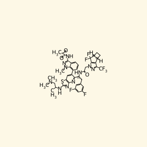 CC(CN(C)C)Nc1nc2nc([C@H](Cc3cc(F)cc(F)c3)NC(=O)Cn3nc(C(F)(F)F)c4c3C(F)(F)[C@@H]3CC[C@H]43)c(-c3cccc4c(NS(C)(=O)=O)nn(C)c34)cc2s1